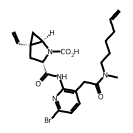 C=CCCCCN(C)C(=O)Cc1ccc(Br)nc1NC(=O)[C@@H]1C[C@@]2(C=C)C[C@H]2N1C(=O)O